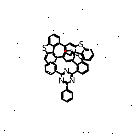 c1ccc(-c2nc(-c3ccccc3)nc(-c3cccc4oc5ccc(-c6cccc7sc8cccc(-c9ccc%10c(c9)sc9ccccc9%10)c8c67)cc5c34)n2)cc1